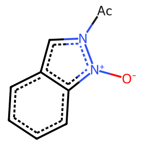 CC(=O)n1cc2ccccc2[n+]1[O-]